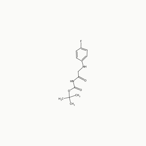 CC(C)(C)OC(=O)NC(=O)CNc1ccc(F)cc1